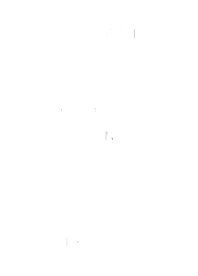 O=C(O)CCC(=O)N1CCC#CC(CO)C(CO)C1